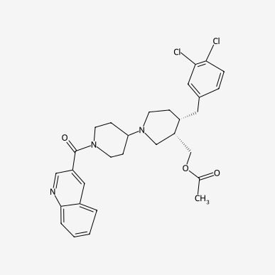 CC(=O)OC[C@@H]1CN(C2CCN(C(=O)c3cnc4ccccc4c3)CC2)CC[C@@H]1Cc1ccc(Cl)c(Cl)c1